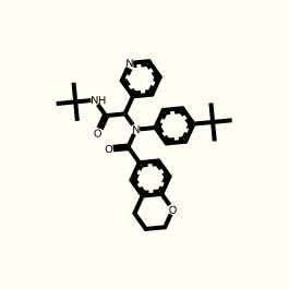 CC(C)(C)NC(=O)C(c1cccnc1)N(C(=O)c1ccc2c(c1)CCCO2)c1ccc(C(C)(C)C)cc1